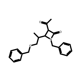 CC(=O)C1C(=O)N(Cc2ccccc2)C1C(C)COCc1ccccc1